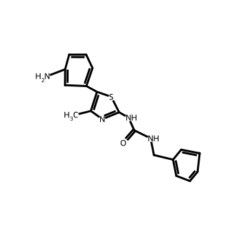 Cc1nc(NC(=O)NCc2ccccc2)sc1-c1cccc(N)c1